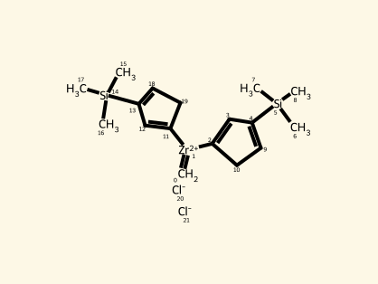 [CH2]=[Zr+2]([C]1=CC([Si](C)(C)C)=CC1)[C]1=CC([Si](C)(C)C)=CC1.[Cl-].[Cl-]